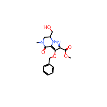 COC(=O)c1nn2c(c1OCc1ccccc1)C(=O)N(C)CC2CO